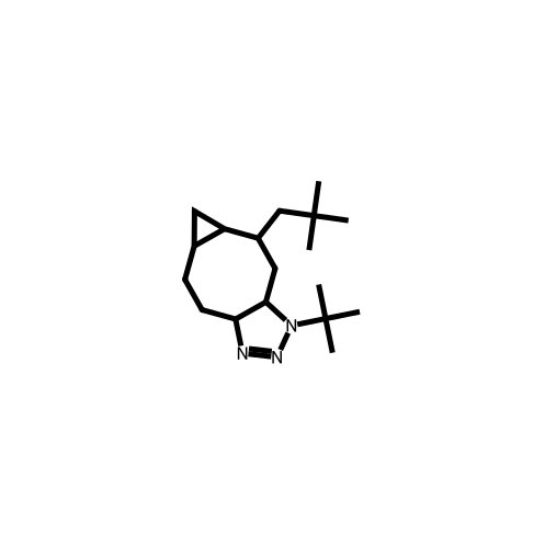 CC(C)(C)CC1CC2C(CCC3CC31)N=NN2C(C)(C)C